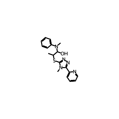 CC(Sc1nnc(-c2ccccn2)n1C)C(O)N(C)c1ccccc1